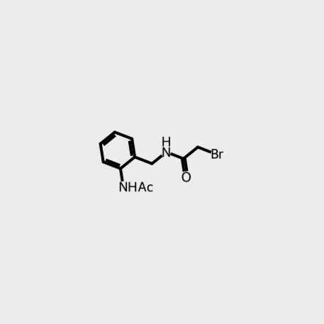 CC(=O)Nc1ccccc1CNC(=O)CBr